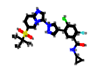 CC(C)(C)S(=O)(=O)c1ccc2ncc(-n3cc(-c4cc(C(=O)NC5CC5)c(F)cc4Cl)cn3)n2c1